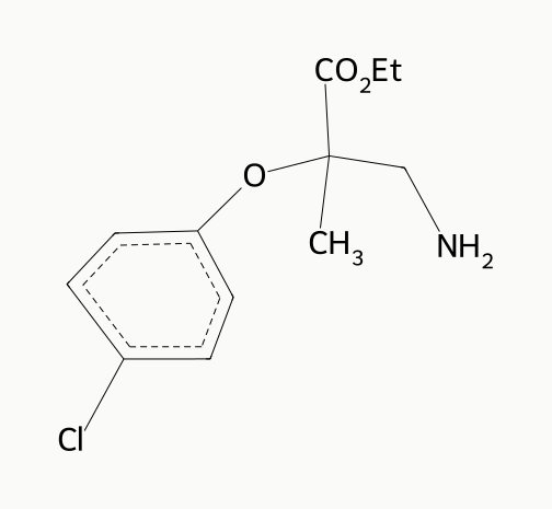 CCOC(=O)C(C)(CN)Oc1ccc(Cl)cc1